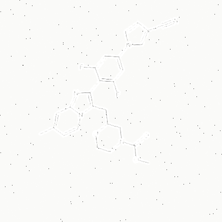 COC(=O)N1CCOC(Cc2c(-c3c(F)cc(-n4ccc(C#N)c4)cc3F)nc3cc(C)ccn23)C1